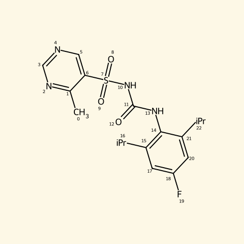 Cc1ncncc1S(=O)(=O)NC(=O)Nc1c(C(C)C)cc(F)cc1C(C)C